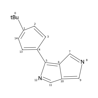 CC(C)(C)c1ccc(C2=C3C=NC=C3C=N2)cc1